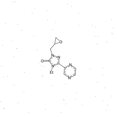 CCn1c(-c2cnccn2)nn(CC2CO2)c1=O